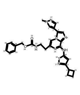 Cn1cc(-c2cnc3c(Nc4cc(C5CCC5)ns4)nc(CCNC(=O)OCc4ccccc4)cn23)cn1